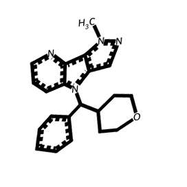 Cn1ncc2c1c1ncccc1n2C(c1ccccc1)C1CCOCC1